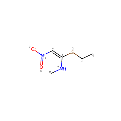 CCSC(=C[N+](=O)[O-])NC